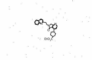 CCOC(=O)C1CCN(c2ccnc3c2C(=O)N(CCc2ccc4ccccc4n2)C3)CC1